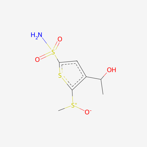 CC(O)c1cc(S(N)(=O)=O)sc1[S+](C)[O-]